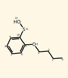 CCCCOc1ccccc1SO